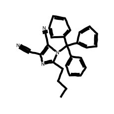 CCCCc1nc(C#N)c(C#N)n1C(c1ccccc1)(c1ccccc1)c1ccccc1